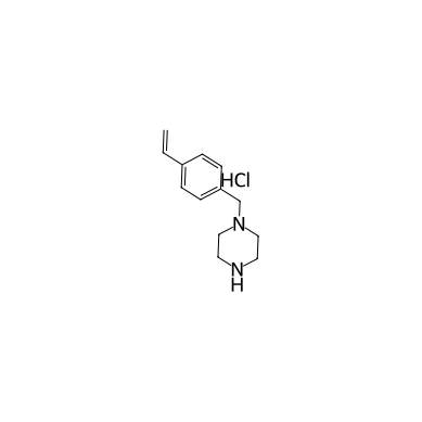 C=Cc1ccc(CN2CCNCC2)cc1.Cl